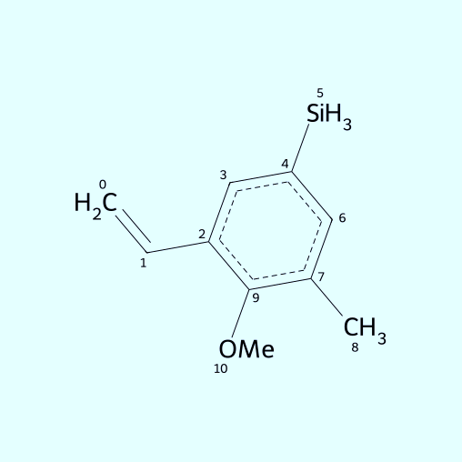 C=Cc1cc([SiH3])cc(C)c1OC